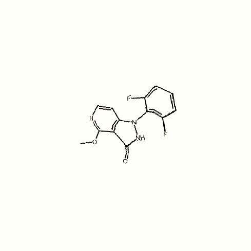 COc1nccc2c1c(=O)[nH]n2-c1c(F)cccc1F